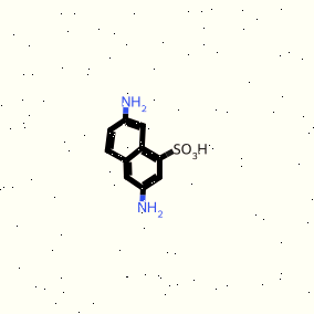 Nc1cc(S(=O)(=O)O)c2cc(N)ccc2c1